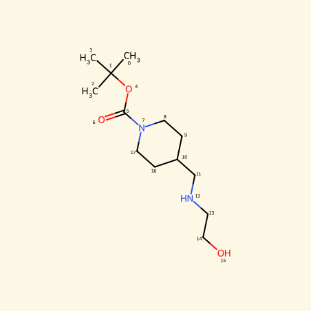 CC(C)(C)OC(=O)N1CCC(CNCCO)CC1